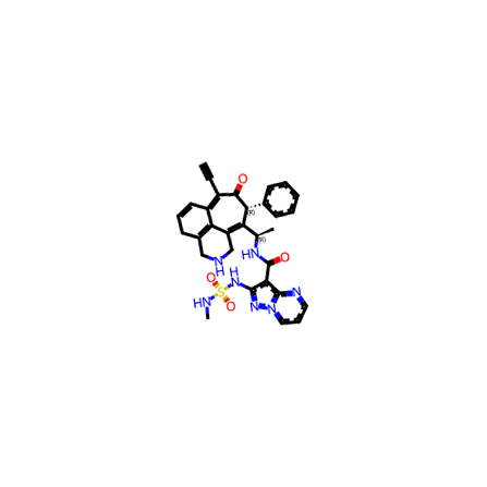 C#CC1=C2C=CCC3=C2C(=C([C@@H](C)NC(=O)c2c(NS(=O)(=O)NC)nn4cccnc24)[C@@H](c2ccccc2)C1=O)CNC3